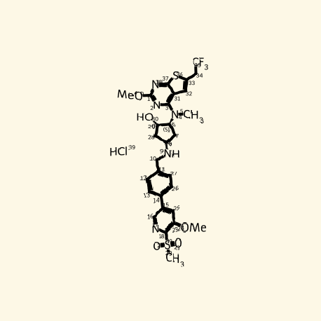 COc1nc(N(C)[C@H]2C[C@@H](NCc3ccc(-c4cnc(S(C)(=O)=O)c(OC)c4)cc3)C[C@H]2O)c2cc(CC(F)(F)F)sc2n1.Cl